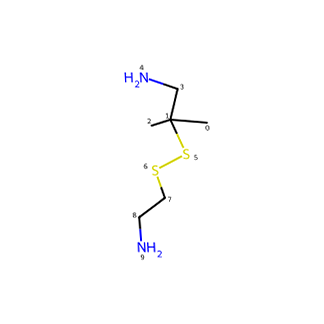 CC(C)(CN)SSCCN